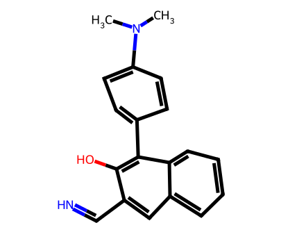 CN(C)c1ccc(-c2c(O)c(C=N)cc3ccccc23)cc1